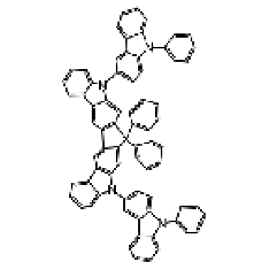 c1ccc(-n2c3ccccc3c3cc(-n4c5ccccc5c5cc6c(cc54)C(c4ccccc4)(c4ccccc4)c4cc5c(cc4-6)c4ccccc4n5-c4ccc5c(c4)c4ccccc4n5-c4ccccc4)ccc32)cc1